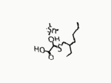 CCCCC(CC)CSC(O)C(=O)O.[CH3][Sn]([CH3])[CH3]